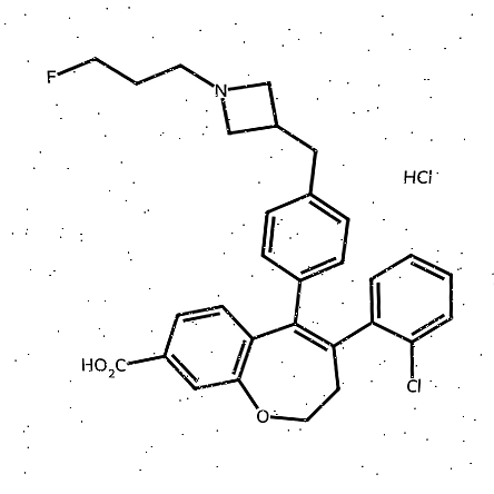 Cl.O=C(O)c1ccc2c(c1)OCCC(c1ccccc1Cl)=C2c1ccc(CC2CN(CCCF)C2)cc1